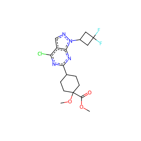 COC(=O)C1(OC)CCC(c2nc(Cl)c3cnn(C4CC(F)(F)C4)c3n2)CC1